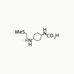 CSC[C@@H](C)NC1CCC(NC(=O)O)CC1